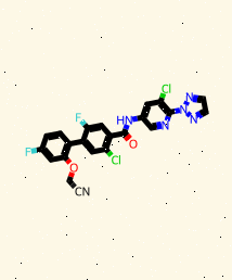 N#CCOc1cc(F)ccc1-c1cc(Cl)c(C(=O)Nc2cnc(-n3nccn3)c(Cl)c2)cc1F